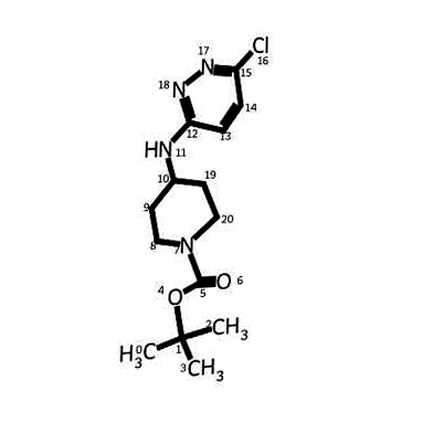 CC(C)(C)OC(=O)N1CCC(Nc2ccc(Cl)nn2)CC1